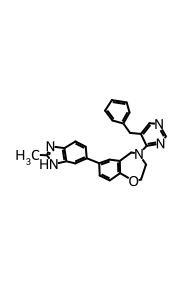 Cc1nc2ccc(-c3ccc4c(c3)CN(c3ncncc3Cc3ccccc3)CCO4)cc2[nH]1